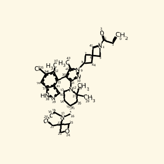 C=CC(=O)N1CC2(CC(n3nc(N4CC[C@@H](CN5CCOCC56COC6)CC4(C)C)c(-c4c(C)c(Cl)cc5[nH]ncc45)c3C)C2)C1